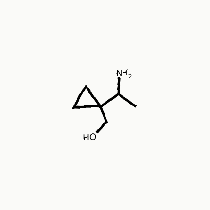 CC(N)C1(CO)CC1